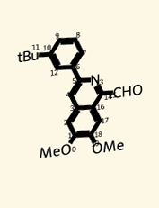 COc1cc2cc(-c3cccc(C(C)(C)C)c3)nc(C=O)c2cc1OC